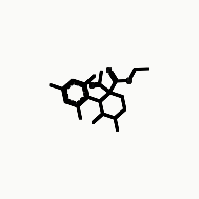 CCOC(=O)C1(C(C)=O)CCC(C)C(C)C1c1c(C)cc(C)cc1C